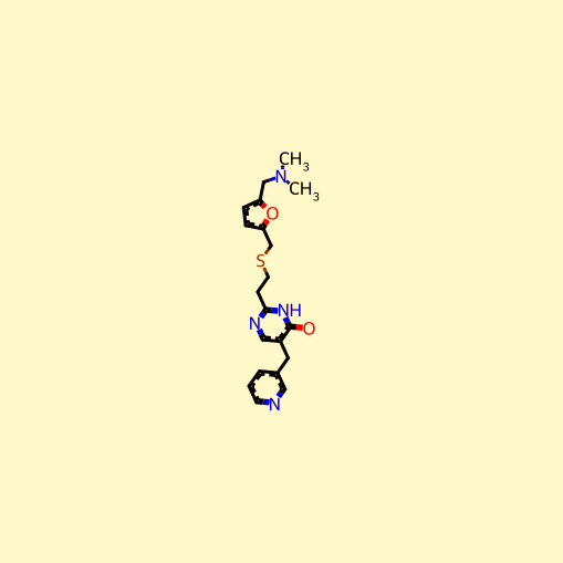 CN(C)Cc1ccc(CSCCc2ncc(Cc3cccnc3)c(=O)[nH]2)o1